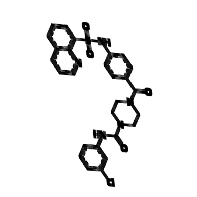 O=C(Nc1cccc(Cl)c1)N1CCN(C(=O)c2ccc(NS(=O)(=O)c3cccc4cccnc34)cc2)CC1